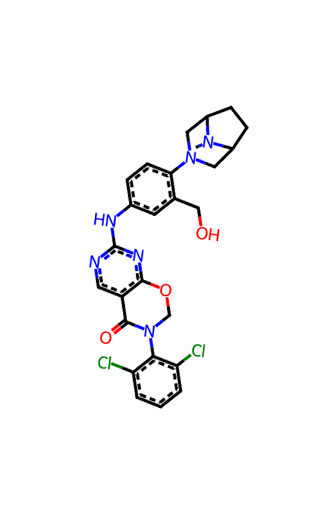 CN1C2CCC1CN(c1ccc(Nc3ncc4c(n3)OCN(c3c(Cl)cccc3Cl)C4=O)cc1CO)C2